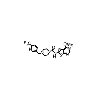 COc1ncnc2sc(NC(=O)N3CCN(Cc4ccc(C(F)(F)F)nc4)CC3)nc12